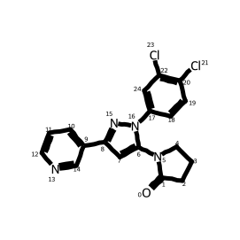 O=C1CCCN1c1cc(-c2cccnc2)nn1-c1ccc(Cl)c(Cl)c1